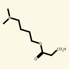 CN(C)CCCCOC(=O)CC(=O)O